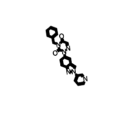 O=c1cnn(-c2ccc3nn(-c4cccnc4)cc3c2)c(=O)n1Cc1ccccc1